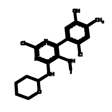 Cc1cc(Cl)c(-c2nc(Cl)nc(NC3CCCCO3)c2NI)cc1O